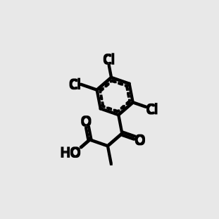 CC(C(=O)O)C(=O)c1cc(Cl)c(Cl)cc1Cl